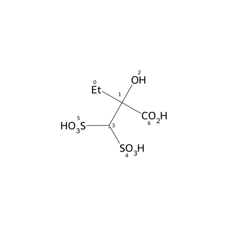 CCC(O)([C](S(=O)(=O)O)S(=O)(=O)O)C(=O)O